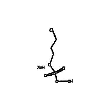 O=S(=O)(OO)OCCCCl.[NaH]